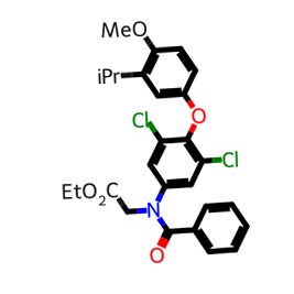 CCOC(=O)CN(C(=O)c1ccccc1)c1cc(Cl)c(Oc2ccc(OC)c(C(C)C)c2)c(Cl)c1